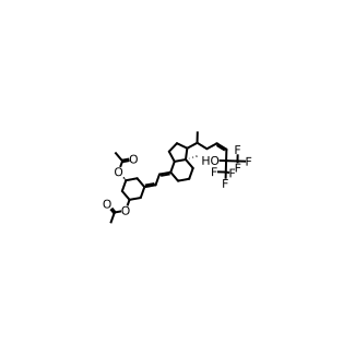 CC(=O)OC1C/C(=C/C=C2\CCC[C@@]3(C)C2CCC3C(C)C/C=C\C(O)(C(F)(F)F)C(F)(F)F)C[C@@H](OC(C)=O)C1